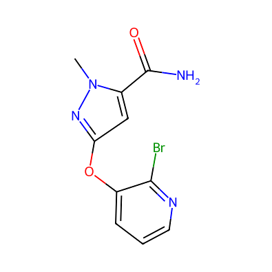 Cn1nc(Oc2cccnc2Br)cc1C(N)=O